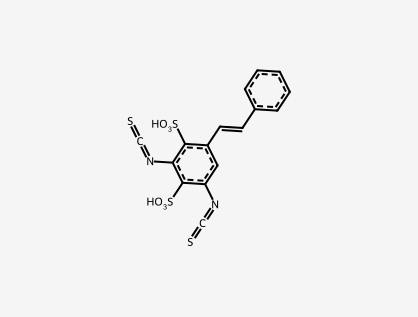 O=S(=O)(O)c1c(C=Cc2ccccc2)cc(N=C=S)c(S(=O)(=O)O)c1N=C=S